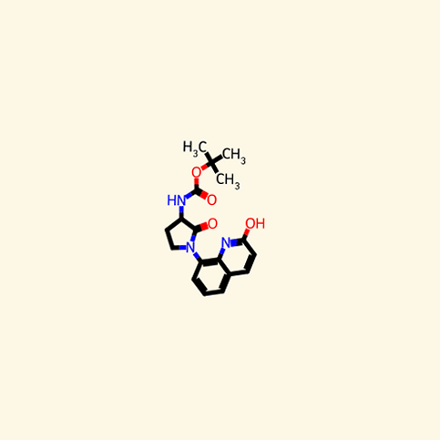 CC(C)(C)OC(=O)NC1CCN(c2cccc3ccc(O)nc23)C1=O